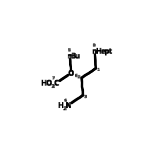 CCCCCCCCCCN.CCCCOC(=O)O